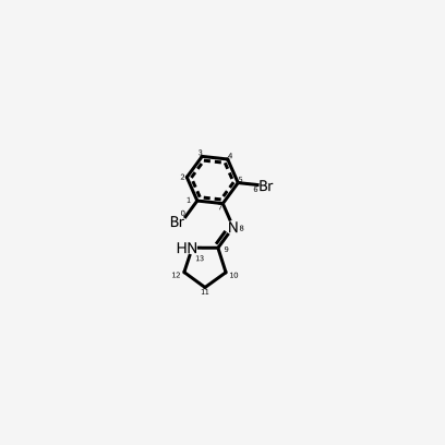 Brc1cccc(Br)c1N=C1CCCN1